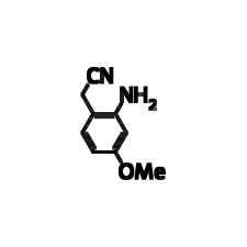 COc1ccc(CC#N)c(N)c1